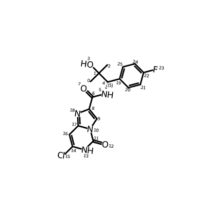 CC(C)(O)[C@@H](NC(=O)c1cn2c(=O)[nH]c(Cl)cc2n1)c1ccc(F)cc1